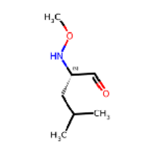 CON[C@H](C=O)CC(C)C